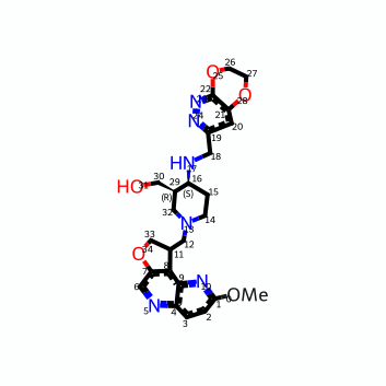 COc1ccc2ncc3c(c2n1)C(CN1CC[C@H](NCc2cc4c(nn2)OCCO4)[C@H](CO)C1)CO3